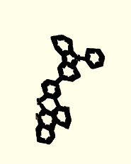 c1ccc(-n2c3ccccc3c3cc(-c4ccc5c(c4)-c4nccc6c4c(nc4ccccc46)S5)ccc32)cc1